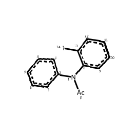 CC(=O)N(c1ccccc1)c1ccccc1I